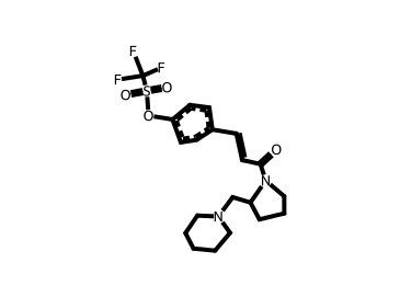 O=C(C=Cc1ccc(OS(=O)(=O)C(F)(F)F)cc1)N1CCCC1CN1CCCCC1